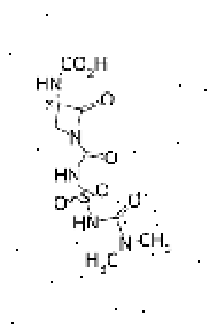 CN(C)C(=O)NS(=O)(=O)NC(=O)N1C[C@H](NC(=O)O)C1=O